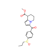 CCC[S+]([O-])c1ccc(C(=O)c2ccc3n2CCCC3C(=O)OC)cc1